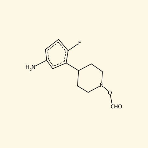 Nc1ccc(F)c(C2CCN(OC=O)CC2)c1